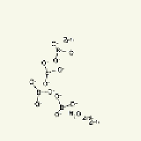 O.[O-]B([O-])[O-].[O-]B([O-])[O-].[O-]B([O-])[O-].[O-]B([O-])[O-].[Zr+4].[Zr+4].[Zr+4]